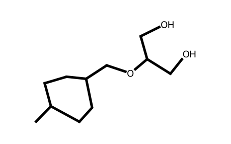 CC1CCC(COC(CO)CO)CC1